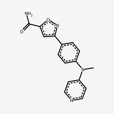 CN(c1ccncc1)c1ccc(-c2cc(C(N)=O)on2)cc1